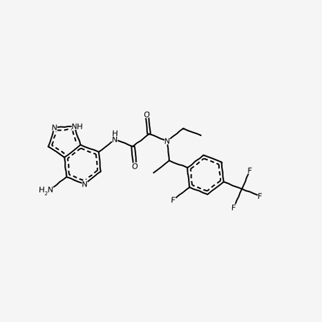 CCN(C(=O)C(=O)Nc1cnc(N)c2cn[nH]c12)C(C)c1ccc(C(F)(F)F)cc1F